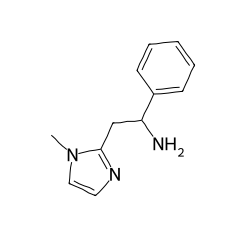 Cn1ccnc1CC(N)c1ccccc1